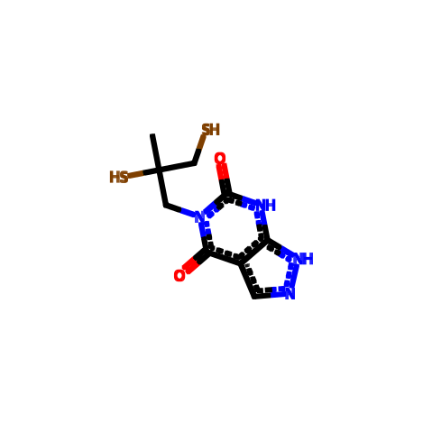 CC(S)(CS)Cn1c(=O)[nH]c2[nH]ncc2c1=O